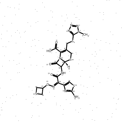 Cn1nnnc1SCC1=C(C(=O)O)N2C(=O)C(NC(=O)/C(=N\OC3CSC3)c3csc(N)n3)[C@H]2SC1